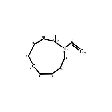 O=[C]N1CCCCCCCCN1